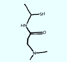 CC(S)NC(=O)CN(C)C